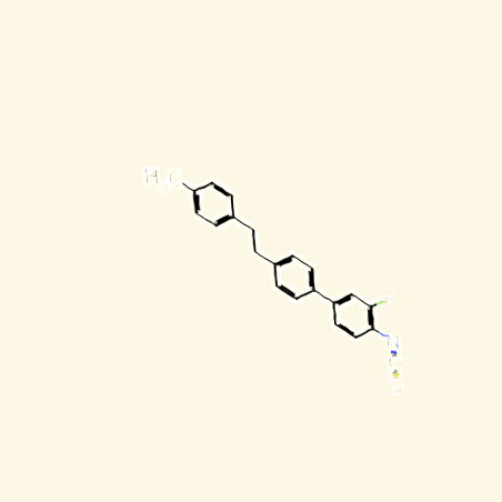 Cc1ccc(CCc2ccc(-c3ccc(N=C=S)c(F)c3)cc2)cc1